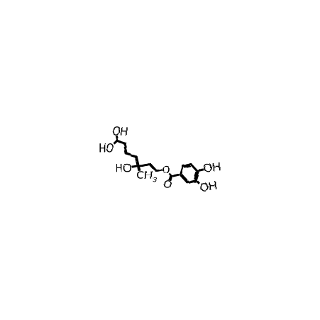 CC(O)(CCCC(O)O)CCOC(=O)c1ccc(O)c(O)c1